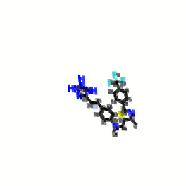 Cc1nc(-c2ccc(C(F)(F)F)cc2)sc1CN(C)c1ccc(/C=C/C2=NNNN2)cc1